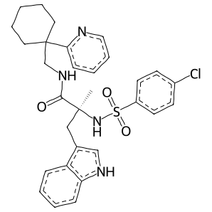 C[C@@](Cc1c[nH]c2ccccc12)(NS(=O)(=O)c1ccc(Cl)cc1)C(=O)NCC1(c2ccccn2)CCCCC1